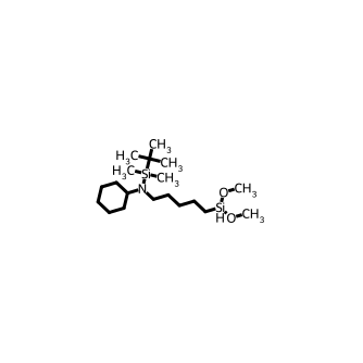 CO[SiH](CCCCCN(C1CCCCC1)[Si](C)(C)C(C)(C)C)OC